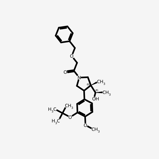 COc1ccc(C2CN(C(=O)COCc3ccccc3)C[C@]2(C)[C@@H](C)O)cc1OC(C)(C)C